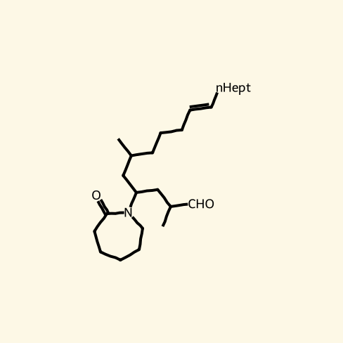 CCCCCCCC=CCCCC(C)CC(CC(C)C=O)N1CCCCCC1=O